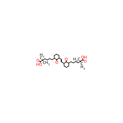 CC(C)(CCCCC1CCCC(C=CC2CCCC(CCCCC(C)(C)C(=O)O)C2=O)C1=O)C(=O)O